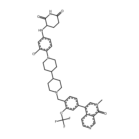 Cn1cc(-c2ccc(CN3CCC(C4CCN(c5ccc(NC6CCC(=O)NC6=O)cc5Cl)CC4)CC3)c(OC(F)(F)F)c2)c2ccncc2c1=O